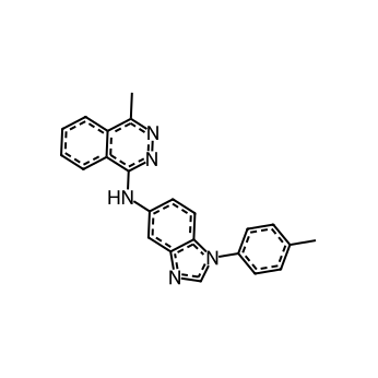 Cc1ccc(-n2cnc3cc(Nc4nnc(C)c5ccccc45)ccc32)cc1